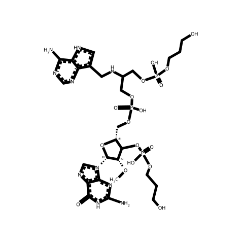 CO[C@H]1C(OP(=O)(O)OCCCO)[C@@H](COP(=O)(O)OCC(COP(=O)(O)OCCCO)NCc2c[nH]c3c(N)ncnc23)O[C@H]1n1cnc2c(=O)[nH]c(N)nc21